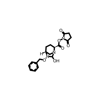 O=C(ON1C(=O)CCC1=O)[C@@H]1CC[C@@H]2CN1C(O)N2OCc1ccccc1